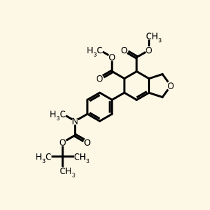 COC(=O)C1C2COCC2=CC(c2ccc(N(C)C(=O)OC(C)(C)C)cc2)C1C(=O)OC